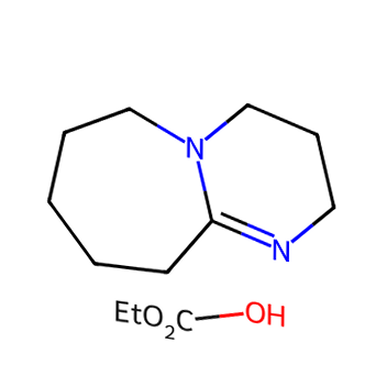 C1CCC2=NCCCN2CC1.CCOC(=O)O